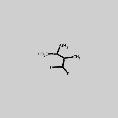 CC(C(F)F)C([AsH2])C(=O)O